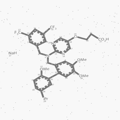 COc1cc(CN(Cc2cc(C(F)(F)F)cc(C(F)(F)F)c2)c2ncc(OCCC(=O)O)cn2)c(-c2cc(C(C)C)ccc2OC)cc1OC.[NaH]